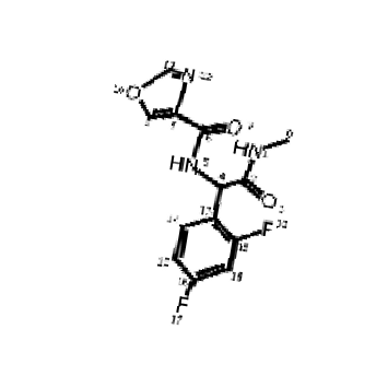 CNC(=O)C(NC(=O)c1cocn1)c1ccc(F)cc1F